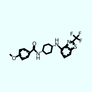 COc1ccc(C(=O)N[C@H]2CC[C@@H](Nc3cccc4sc(C(F)(F)F)nc34)CC2)cc1